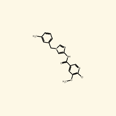 COc1cc(C(=O)Nc2cn(Cc3cccc(C)c3)cn2)cnc1Cl